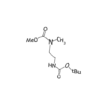 COC(=O)N(C)CCNC(=O)OC(C)(C)C